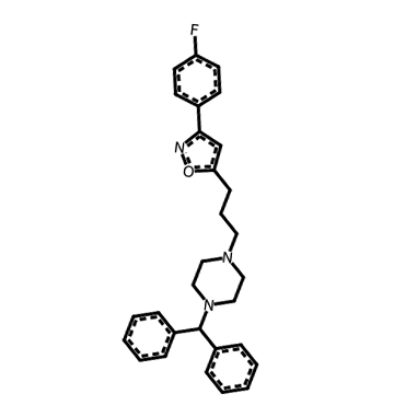 Fc1ccc(-c2cc(CCCN3CCN(C(c4ccccc4)c4ccccc4)CC3)on2)cc1